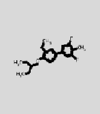 CCc1cc(-c2cc(F)c(C)c(F)c2)ccc1OCC(CC)CC